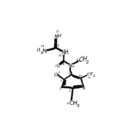 Cc1cc(Cl)c(N(C)C(=O)NC(=N)N)c(C(F)(F)F)c1